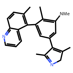 CNc1cc(C2=C(C)CN=C2C)cc(-c2c(C)ccc3ncccc23)c1C